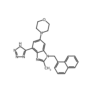 Cc1nc2c(-c3nnn[nH]3)cc(N3CCOCC3)cc2n1Cc1cccc2ccccc12